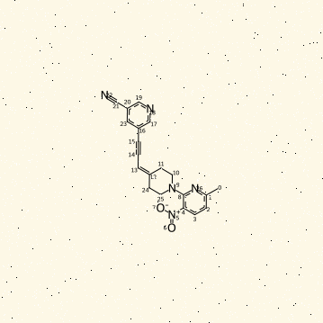 Cc1ccc([N+](=O)[O-])c(N2CCC(=CC#Cc3cncc(C#N)c3)CC2)n1